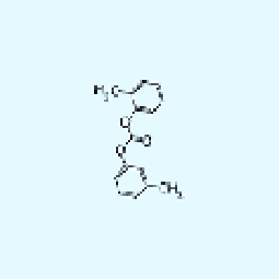 Cc1cccc(OC(=O)Oc2ccccc2C)c1